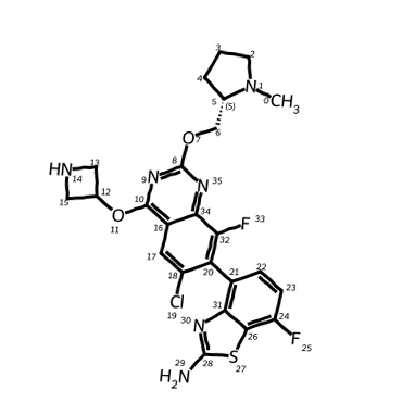 CN1CCC[C@H]1COc1nc(OC2CNC2)c2cc(Cl)c(-c3ccc(F)c4sc(N)nc34)c(F)c2n1